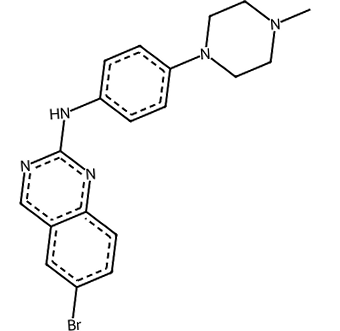 CN1CCN(c2ccc(Nc3ncc4cc(Br)ccc4n3)cc2)CC1